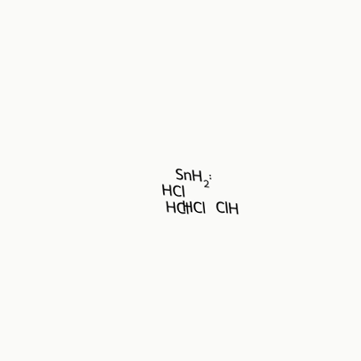 Cl.Cl.Cl.Cl.[SnH2]